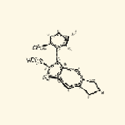 O=C(O)c1oc2cc3c(cc2c1-c1ccccc1Cl)CCC3